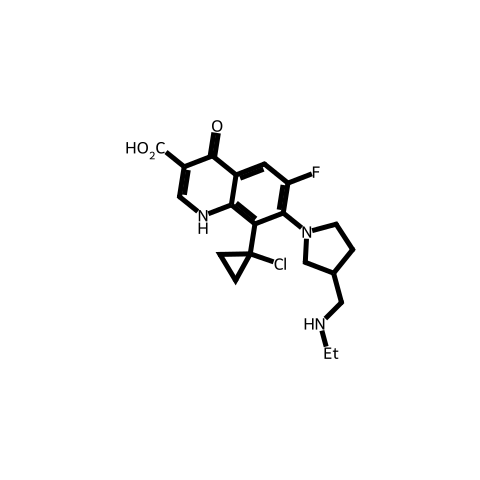 CCNCC1CCN(c2c(F)cc3c(=O)c(C(=O)O)c[nH]c3c2C2(Cl)CC2)C1